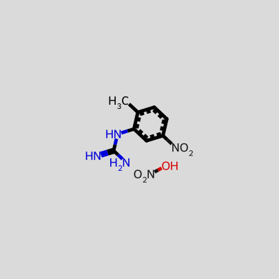 Cc1ccc([N+](=O)[O-])cc1NC(=N)N.O=[N+]([O-])O